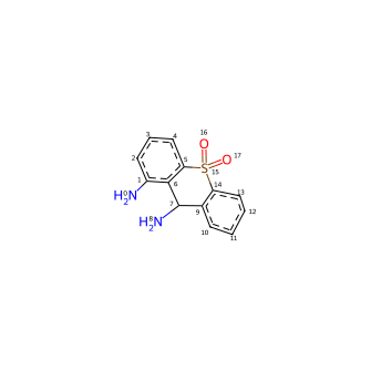 Nc1cccc2c1C(N)c1ccccc1S2(=O)=O